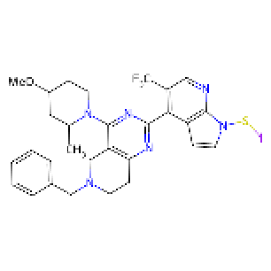 COC1CCN(c2nc(-c3c(C(F)(F)F)cnc4c3ccn4SI)nc3c2CN(Cc2ccccc2)CC3)C(C)C1